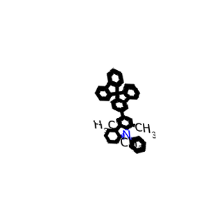 Cc1cc(-c2ccc3c(c2)-c2ccccc2C32c3ccccc3-c3ccccc32)cc2c1N(c1ccccc1)C1(C)CCCCC21C